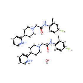 Cc1cc(F)ccc1NC(=O)CN1CCC(c2cccc[nH+]2)CC1.Cc1cc(F)ccc1NC(=O)CN1CCC(c2cccc[nH+]2)CC1.[O-2]